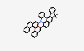 CC1(C)c2ccccc2-c2c(-c3ccccc3N(c3ccc4c(ccc5ccccc54)c3)c3ccccc3-c3ccc4ccccc4c3)cccc21